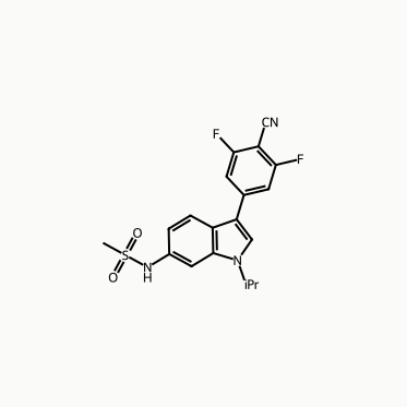 CC(C)n1cc(-c2cc(F)c(C#N)c(F)c2)c2ccc(NS(C)(=O)=O)cc21